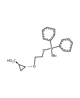 CC(C)(C)[Si](OCCO[C@@H]1C[C@H]1C(=O)O)(c1ccccc1)c1ccccc1